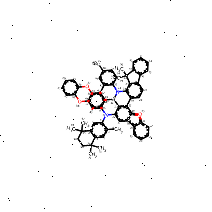 Cc1cc2c(cc1N1c3cc4c(cc3B3c5c1cc1c(oc6ccccc61)c5-c1ccc5c(c1N3c1ccc(C(C)(C)C)cc1-c1ccccc1)C(C)(C)c1ccccc1-5)Oc1ccccc1O4)C(C)(C)CCC2(C)C